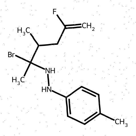 C=C(F)CC(C)C(C)(Br)NNc1ccc(C)cc1